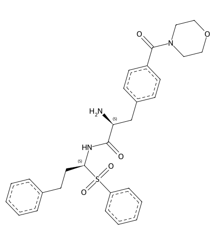 N[C@@H](Cc1ccc(C(=O)N2CCOCC2)cc1)C(=O)N[C@H](CCc1ccccc1)S(=O)(=O)c1ccccc1